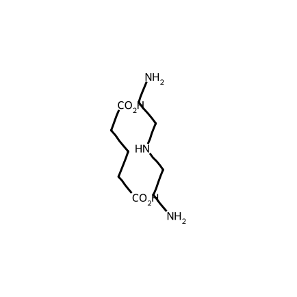 NCCNCCN.O=C(O)CCCC(=O)O